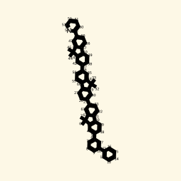 CC1(C)c2cc(-c3cccc(-c4ccccc4)c3)ccc2-c2ccc(-c3ccc4c(c3)C(C)(C)c3cc(-c5ccc6c(c5)C(C)(C)c5cc(-c7ccccn7)ccc5-6)ccc3-4)cc21